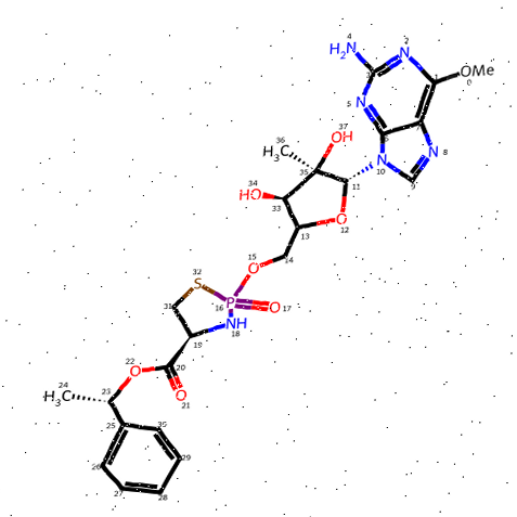 COc1nc(N)nc2c1ncn2[C@@H]1OC(COP2(=O)N[C@@H](C(=O)O[C@@H](C)c3ccccc3)CS2)[C@@H](O)[C@@]1(C)O